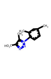 Cc1ccc(-n2nnc(C(=O)O)c2C)c(C)c1